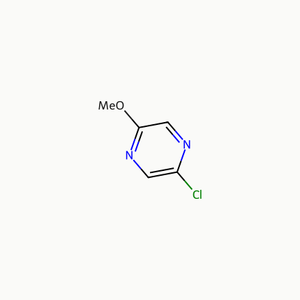 COc1cnc(Cl)cn1